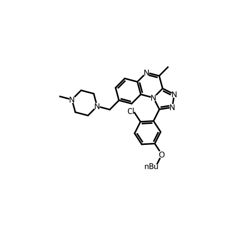 CCCCOc1ccc(Cl)c(-c2nnc3c(C)nc4ccc(CN5CCN(C)CC5)cc4n23)c1